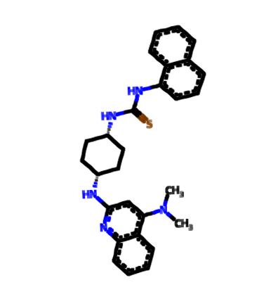 CN(C)c1cc(N[C@H]2CC[C@@H](NC(=S)Nc3cccc4ccccc34)CC2)nc2ccccc12